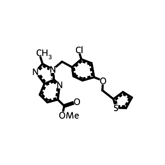 COC(=O)c1ccc2nc(C)n(Cc3ccc(OCc4cccs4)cc3Cl)c2n1